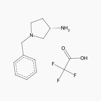 N[C@H]1CCN(Cc2ccccc2)C1.O=C(O)C(F)(F)F